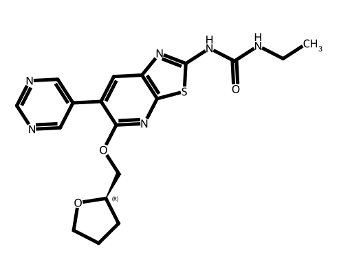 CCNC(=O)Nc1nc2cc(-c3cncnc3)c(OC[C@H]3CCCO3)nc2s1